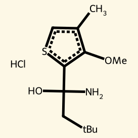 COc1c(C)csc1C(N)(O)CC(C)(C)C.Cl